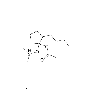 CCCCC1CCCC1(OC(C)=O)O[SiH](C)C